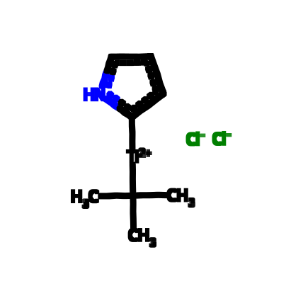 C[C](C)(C)[Ti+2][c]1ccc[nH]1.[Cl-].[Cl-]